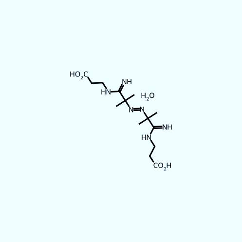 CC(C)(N=NC(C)(C)C(=N)NCCC(=O)O)C(=N)NCCC(=O)O.O